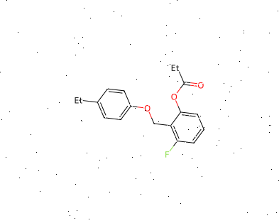 CCC(=O)Oc1cccc(F)c1COc1ccc(CC)cc1